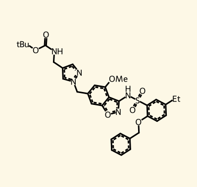 CCc1ccc(OCc2ccccc2)c(S(=O)(=O)Nc2noc3cc(Cn4cc(CNC(=O)OC(C)(C)C)cn4)cc(OC)c23)c1